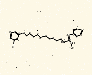 N#CN/C(=N\c1cccnc1)NCCCCCCCCCCOc1cccc(F)c1